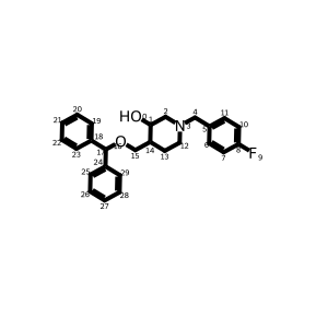 OC1CN(Cc2ccc(F)cc2)CCC1COC(c1ccccc1)c1ccccc1